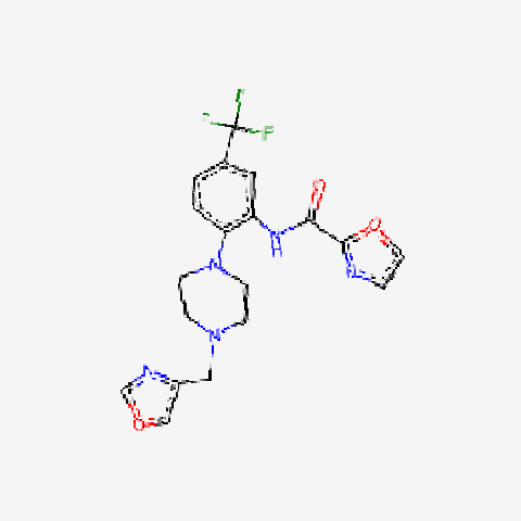 O=C(Nc1cc(C(F)(F)F)ccc1N1CCN(Cc2cocn2)CC1)c1ncco1